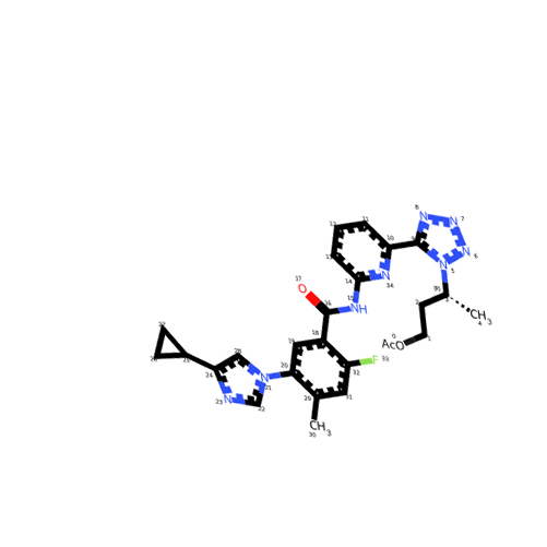 CC(=O)OCC[C@@H](C)n1nnnc1-c1cccc(NC(=O)c2cc(-n3cnc(C4CC4)c3)c(C)cc2F)n1